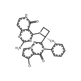 C[C@@]1(c2nn3ccc(Cl)c3c(=O)n2-c2ccccc2)CCN1c1nc(N)nc2cc[nH]c(=O)c12